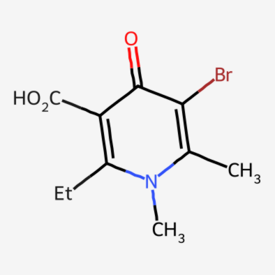 CCc1c(C(=O)O)c(=O)c(Br)c(C)n1C